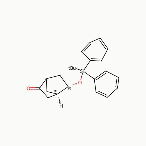 CC(C)(C)[Si](O[C@H]1CC2C[C@@H]1CC2=O)(c1ccccc1)c1ccccc1